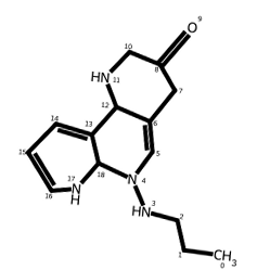 CCCNN1C=C2CC(=O)CNC2C2=CC=CNC21